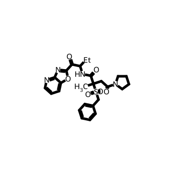 CCC(NC(=O)C(C)(CC(=O)N1CCCC1)S(=O)(=O)Cc1ccccc1)C(=O)c1nc2ncccc2o1